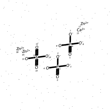 O=P([O-])([O-])[O-].O=P([O-])([O-])[O-].O=S(=O)([O-])[O-].[Ca+2].[Zn+2].[Zn+2].[Zn+2]